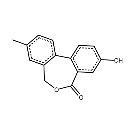 Cc1ccc2c(c1)COC(=O)c1cc(O)ccc1-2